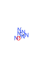 CN(C)Oc1nc(N(C)C)nc(N(C)C)n1